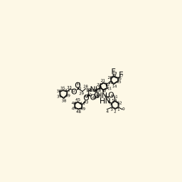 Cc1cc(C)c(NC(=O)Nc2cc(-c3ccc(F)c(F)c3)ccc2C(=O)N[C@@H](CCC(=O)OCc2ccccc2)C(=O)OCc2ccccc2)c(C)c1